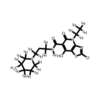 [2H]N(C(=O)c1c(O)c2sc(Cl)nc2n(C([2H])([2H])C([2H])([2H])[2H])c1=O)C([2H])([2H])CC([2H])([2H])N1C([2H])([2H])C([2H])([2H])C([2H])([2H])C([2H])(C)C1([2H])[2H]